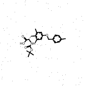 Cc1ccc(COc2cc(C)c(C[C@H](NC(=O)OC(C)(C)C)C(=O)O)c(C)c2)cc1